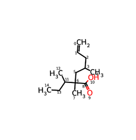 C=CCC(C)CC(C)(C(=O)O)C(C)CC